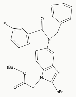 CCCc1nc2cc(N(Cc3ccccc3)C(=O)c3cccc(F)c3)ccc2n1CC(=O)OC(C)(C)C